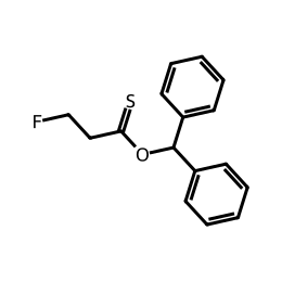 FCCC(=S)OC(c1ccccc1)c1ccccc1